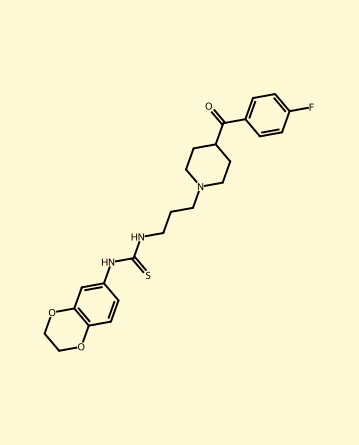 O=C(c1ccc(F)cc1)C1CCN(CCCNC(=S)Nc2ccc3c(c2)OCCO3)CC1